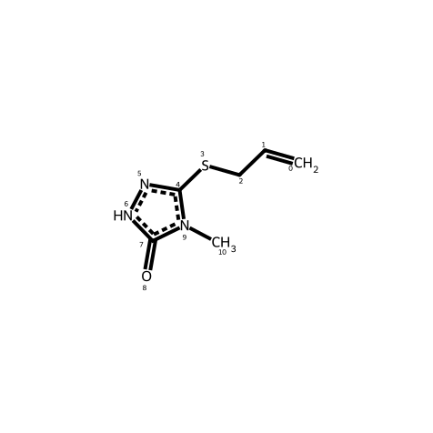 C=CCSc1n[nH]c(=O)n1C